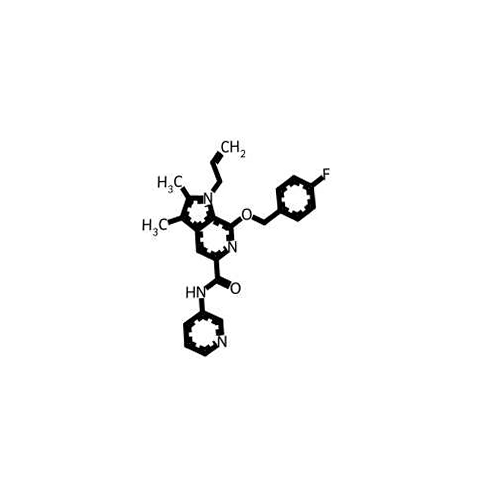 C=CCn1c(C)c(C)c2cc(C(=O)Nc3cccnc3)nc(OCc3ccc(F)cc3)c21